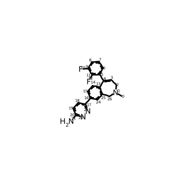 CN1CC=C(c2cccc(F)c2F)c2ccc(-c3ccc(N)nn3)cc2C1